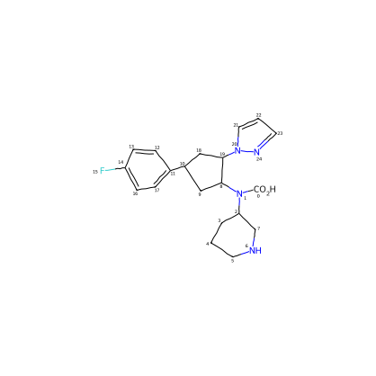 O=C(O)N(C1CCCNC1)C1CC(c2ccc(F)cc2)CC1n1cccn1